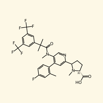 Cc1cc(F)ccc1-c1cc(C2CC[C@H](C(=O)O)N2C)ncc1N(C)C(=O)C(C)(C)c1cc(C(F)(F)F)cc(C(F)(F)F)c1